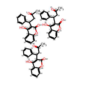 CC(=O)CC(c1ccccc1)c1c(O)c2ccccc2oc1=O.CC(=O)CC(c1ccccc1)c1c(O)c2ccccc2oc1=O.CC(=O)CC(c1ccccc1)c1c(O)c2ccccc2oc1=O